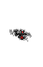 CC(C)(C)c1ccc2c(c1)B1c3ccc(N4c5ccc(C(C)(C)C)cc5C5(C)CCCCC45C)cc3N(c3cccc4sc5ccccc5c34)c3cc(N4c5ccccc5C5(C)CCCCC45C)cc(c31)N2c1ccc(C(C)(C)C)cc1-c1ccccc1